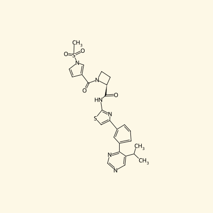 CC(C)c1cncnc1-c1cccc(-c2csc(NC(=O)[C@@H]3CCN3C(=O)c3ccn(S(C)(=O)=O)c3)n2)c1